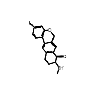 CBC1CCc2cc3c(cc2C1=O)COc1cc(I)ccc1-3